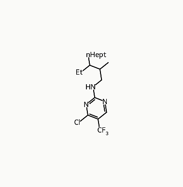 CCCCCCCC(CC)C(C)CNc1ncc(C(F)(F)F)c(Cl)n1